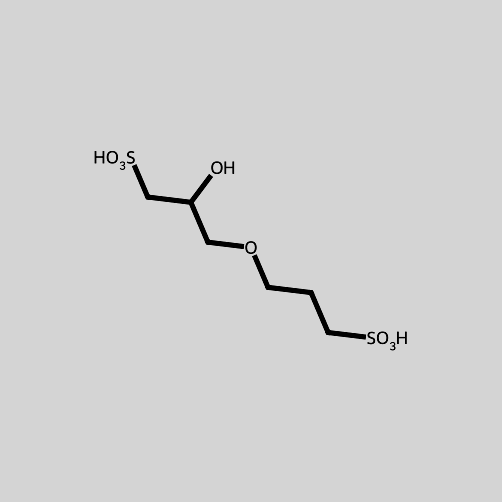 O=S(=O)(O)CCCOCC(O)CS(=O)(=O)O